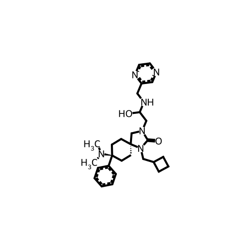 CN(C)[C@]1(c2ccccc2)CC[C@]2(CC1)CN(CC(O)NCc1cnccn1)C(=O)N2CC1CCC1